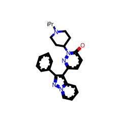 CC(C)N1CCC(n2nc(-c3c(-c4ccccc4)nn4ccccc34)ccc2=O)CC1